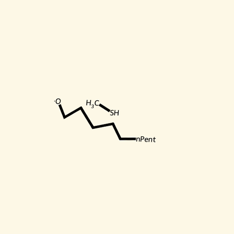 CCCCCCCCCC[O].CS